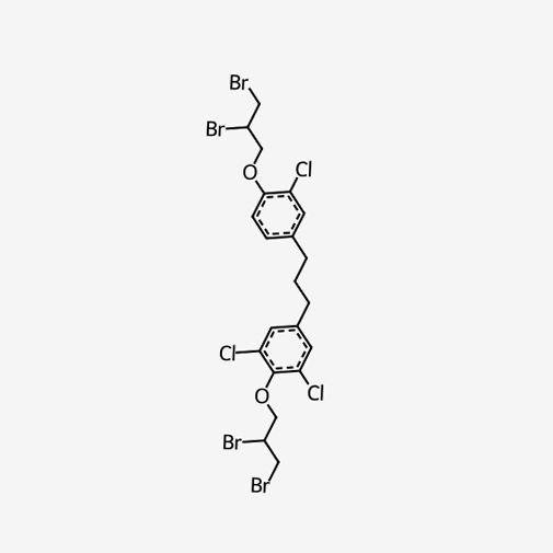 Clc1cc(CCCc2cc(Cl)c(OCC(Br)CBr)c(Cl)c2)ccc1OCC(Br)CBr